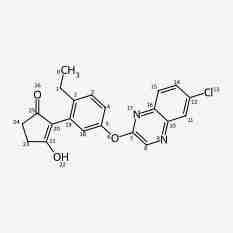 CCc1ccc(Oc2cnc3cc(Cl)ccc3n2)cc1C1=C(O)CCC1=O